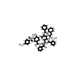 COC(=O)C1CC(OC2OC(COC(=O)c3ccccc3)C(OC(=O)c3ccccc3)C(O[C@@H](CC3CCCCC3)C(=O)O)C2OC(=O)c2ccccc2)C(O)C(OS(=O)(=O)c2ccc(C)cc2)C1